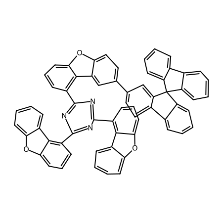 c1ccc2c(c1)-c1ccccc1C21c2ccccc2-c2ccc(-c3ccc4oc5cccc(-c6nc(-c7cccc8oc9ccccc9c78)nc(-c7cccc8oc9ccccc9c78)n6)c5c4c3)cc21